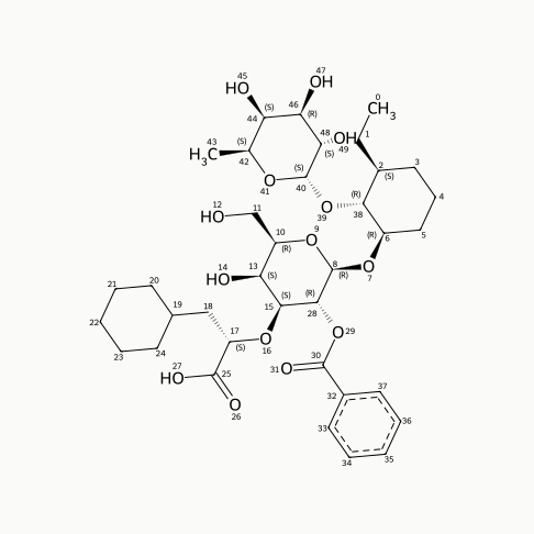 CC[C@H]1CCC[C@@H](O[C@@H]2O[C@H](CO)[C@H](O)[C@H](O[C@@H](CC3CCCCC3)C(=O)O)[C@H]2OC(=O)c2ccccc2)[C@@H]1O[C@@H]1O[C@@H](C)[C@@H](O)[C@@H](O)[C@@H]1O